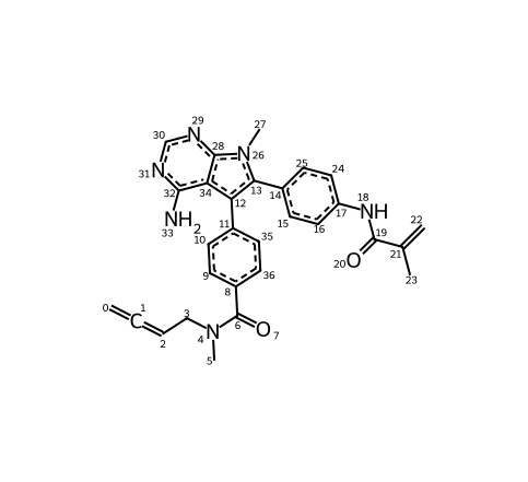 C=C=CCN(C)C(=O)c1ccc(-c2c(-c3ccc(NC(=O)C(=C)C)cc3)n(C)c3ncnc(N)c23)cc1